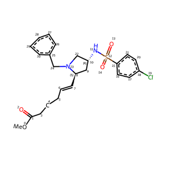 COC(=O)CCCC=C[C@@H]1C[C@@H](NS(=O)(=O)c2ccc(Cl)cc2)CN1Cc1ccccc1